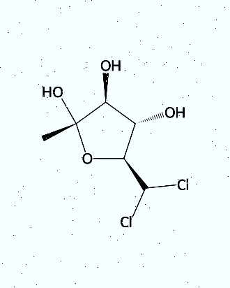 C[C@]1(O)O[C@H](C(Cl)Cl)[C@@H](O)[C@@H]1O